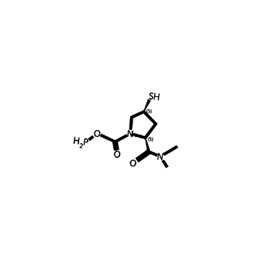 CN(C)C(=O)[C@@H]1C[C@H](S)CN1C(=O)OP